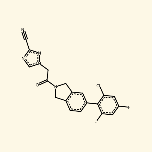 N#Cc1ncn(CC(=O)N2Cc3ccc(-c4c(F)cc(F)cc4Cl)cc3C2)n1